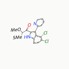 COC(SC)C(=O)c1[nH]c2ccc(Cl)c(Cl)c2c1-c1ccccn1